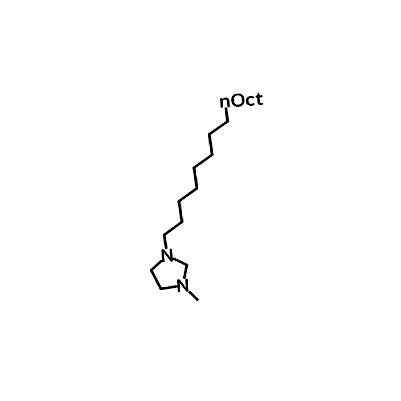 CCCCCCCCCCCCCCCCN1CCN(C)C1